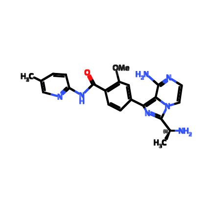 COc1cc(-c2nc([C@H](C)N)n3ccnc(N)c23)ccc1C(=O)Nc1ccc(C)cn1